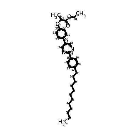 CCCCCCCCCCCCc1ccc(-c2ncc(-c3ccc(OC(C)C(=O)OCC)cc3)cn2)cc1